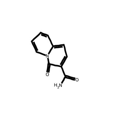 NC(=O)c1ccc2ccccn2c1=O